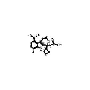 Cc1ccc([N+](=O)[O-])c2c3c([nH]c12)C(CC(=O)O)(C1CCC1)OCC3